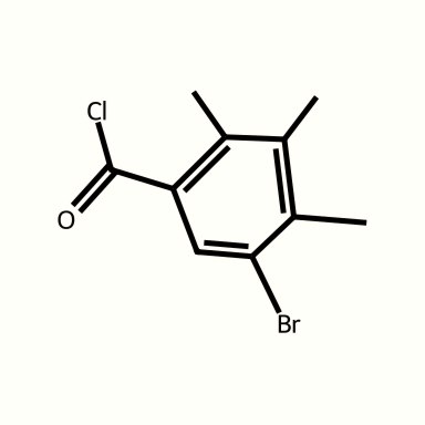 Cc1c(Br)cc(C(=O)Cl)c(C)c1C